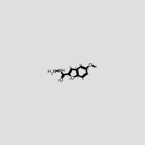 COc1ccc2oc(C(=O)NN)cc2c1